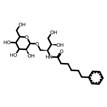 O=C(CCCCCc1ccccc1)N[C@@H](COC1OC(CO)C(O)C(O)[C@@H]1O)[C@H](O)CO